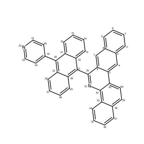 c1ccc2cc3c(cc2c1)c(-c1c2ccccc2c(-c2ccncc2)c2ccccc12)nc1c2ccccc2ccc31